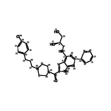 O=C(c1cc2c(NC[C@@H](O)CO)nc(-c3ccccc3)nc2[nH]1)N1CCN(CCCc2ccc(Cl)cc2)CC1